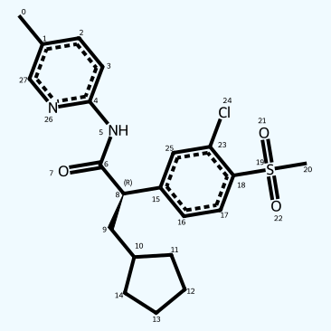 Cc1ccc(NC(=O)[C@H](CC2CCCC2)c2ccc(S(C)(=O)=O)c(Cl)c2)nc1